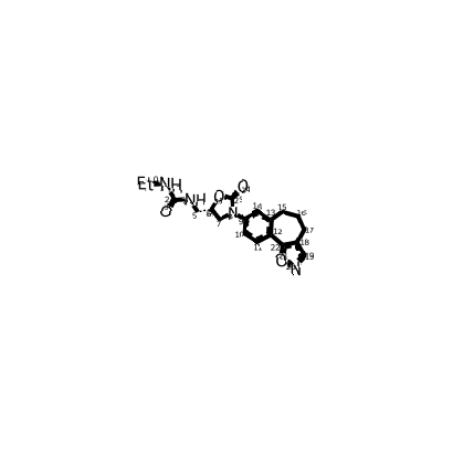 CCNC(=O)NC[C@H]1CN(c2ccc3c(c2)CCCc2cnoc2-3)C(=O)O1